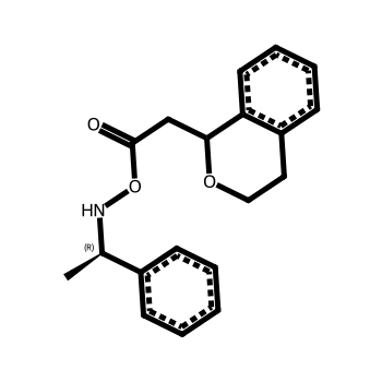 C[C@@H](NOC(=O)CC1OCCc2ccccc21)c1ccccc1